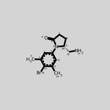 Cc1cc(N2C(=O)CC[C@@H]2CN)cc(C)c1Br